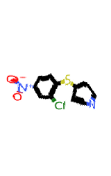 O=[N+]([O-])c1ccc(Sc2ccncc2)c(Cl)c1